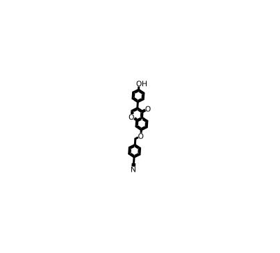 N#Cc1ccc(COc2ccc3c(=O)c(-c4ccc(O)cc4)coc3c2)cc1